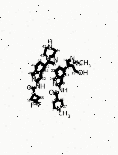 CN1CCC(C(=O)Nc2cc3cc(-c4cnn(C)c4CO)ccc3cn2)CC1.O=C(Nc1cc2cc(-c3cnc4n3CCNC4)ccc2cn1)C1CC(F)(F)C1